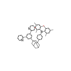 Cc1cc(C)c(B(c2ccc(C34CC5CC(C3)CC(c3cc(-c6ccccn6)cc(-c6ccccn6)c3)(C5)C4)cc2)c2c(C)cc(C)cc2C)c(C)c1